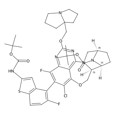 CC(C)(C)OC(=O)Nc1cc2c(-c3c(Cl)c4c5c(nc(OCC67CCCN6CCC7)nc5c3F)N3C[C@H]5CC[C@@H]([C@H]3CO4)N5C(=O)OC(C)(C)C)c(F)ccc2s1